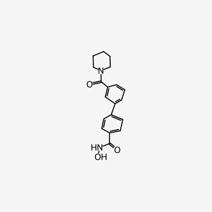 O=C(NO)c1ccc(-c2cccc(C(=O)N3CCCCC3)c2)cc1